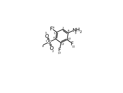 CS(=O)(=O)c1c(F)cc(N)c(F)c1F